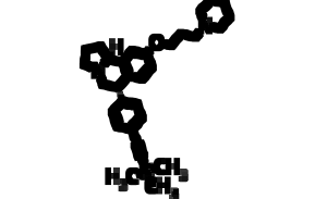 C[Si](C)(C)C#Cc1ccc([C@@H]2CN3CCC[C@H]3c3cc(OCCCN4CCCCC4)ccc32)cc1